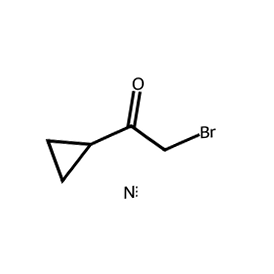 O=C(CBr)C1CC1.[N]